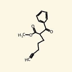 C#CCCCC(C(=O)OC)C(=O)c1ccccc1